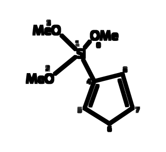 CO[Si](OC)(OC)C1=CCC=C1